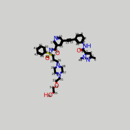 Cc1cc(C(=O)Nc2cccc(C#Cc3cncc(C(=O)N=S(=O)(CCCN4CCN(CCOCCO)CC4)c4ccccc4)c3)c2)n(C)n1